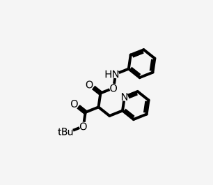 CC(C)(C)OC(=O)C(Cc1ccccn1)C(=O)ONc1ccccc1